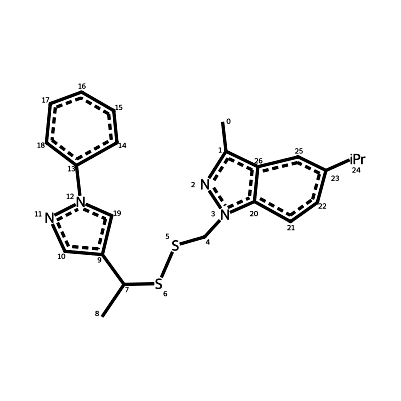 Cc1nn(CSSC(C)c2cnn(-c3ccccc3)c2)c2ccc(C(C)C)cc12